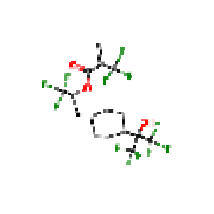 C=C(C(=O)OC(CC1CCC(C(O)(C(F)(F)F)C(F)(F)F)CC1)C(F)(F)F)C(F)(F)F